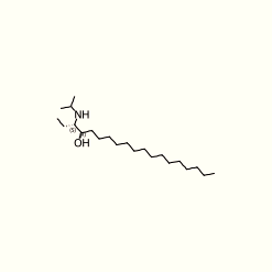 CCCCCCCCCCCCCCC[C@@H](O)[C@H](CC)NC(C)C